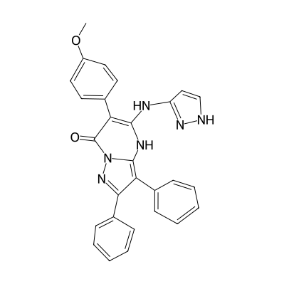 COc1ccc(-c2c(Nc3cc[nH]n3)[nH]c3c(-c4ccccc4)c(-c4ccccc4)nn3c2=O)cc1